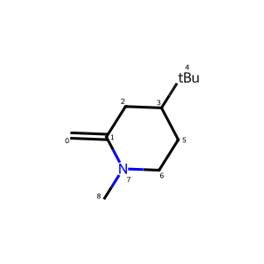 C=C1CC(C(C)(C)C)CCN1C